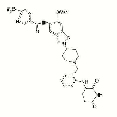 COc1cc2nn(C3CCN(Cc4ccccc4NC4CCC(=O)NC4=O)CC3)cc2cc1NC(=O)c1ccc(C(F)(F)F)nc1